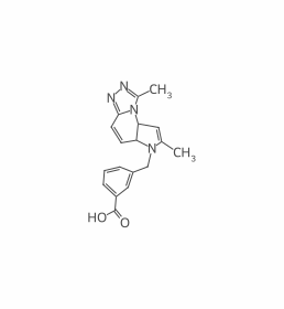 CC1=CC2C(C=Cc3nnc(C)n32)N1Cc1cccc(C(=O)O)c1